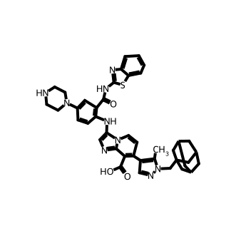 Cc1c(-c2ccn3c(Nc4ccc(N5CCNCC5)cc4C(=O)Nc4nc5ccccc5s4)cnc3c2C(=O)O)cnn1CC12CC3CC(CC(C3)C1)C2